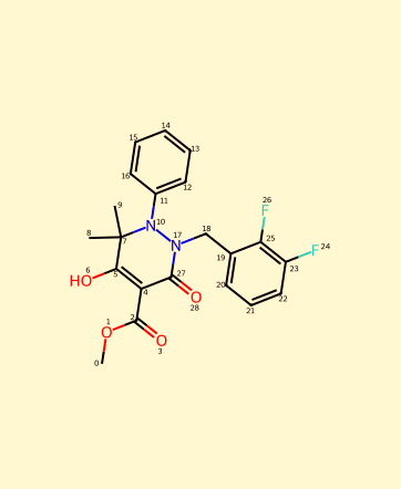 COC(=O)C1=C(O)C(C)(C)N(c2ccccc2)N(Cc2cccc(F)c2F)C1=O